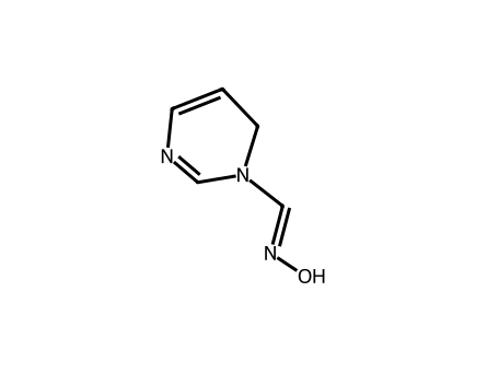 ON=CN1C=NC=CC1